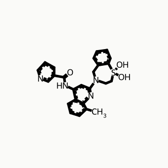 Cc1cccc2c(NC(=O)c3cccnc3)cc(N3CCS(O)(O)c4ccccc4C3)nc12